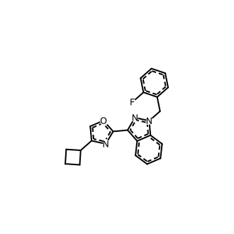 Fc1ccccc1Cn1nc(-c2nc(C3CCC3)co2)c2ccccc21